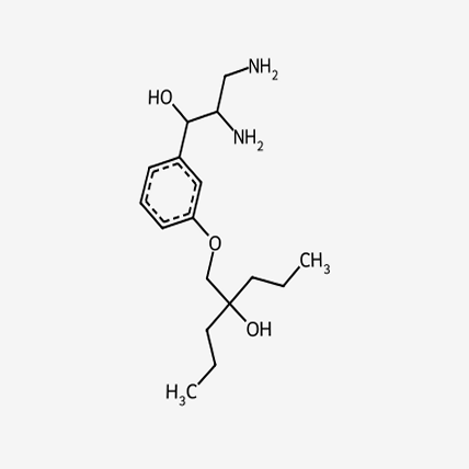 CCCC(O)(CCC)COc1cccc(C(O)C(N)CN)c1